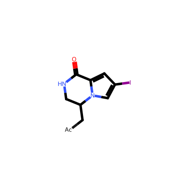 CC(=O)CC1CNC(=O)c2cc(I)cn21